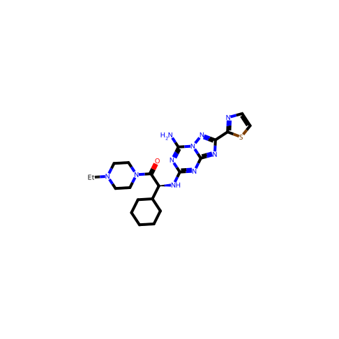 CCN1CCN(C(=O)[C@@H](Nc2nc(N)n3nc(-c4nccs4)nc3n2)C2CCCCC2)CC1